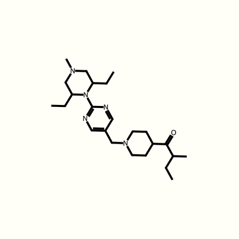 CCC(C)C(=O)C1CCN(Cc2cnc(N3C(CC)CN(C)CC3CC)nc2)CC1